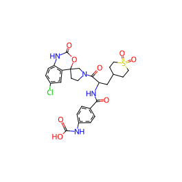 O=C(O)Nc1ccc(C(=O)NC(CC2CCS(=O)(=O)CC2)C(=O)N2CCC3(C2)OC(=O)Nc2ccc(Cl)cc23)cc1